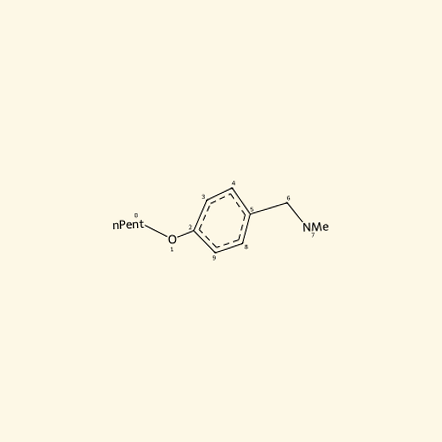 CCCCCOc1ccc(CNC)cc1